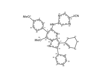 COc1ccc(-c2c(Nc3cnc(C#N)cn3)nc3c(C4=CCCCC4)c(-c4ccccc4)nn3c2OC)cc1